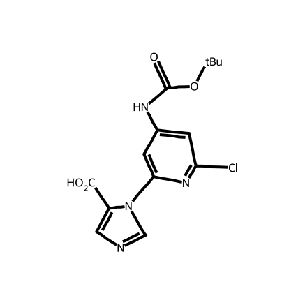 CC(C)(C)OC(=O)Nc1cc(Cl)nc(-n2cncc2C(=O)O)c1